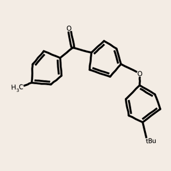 Cc1ccc(C(=O)c2ccc(Oc3ccc(C(C)(C)C)cc3)cc2)cc1